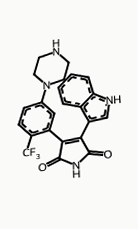 O=C1NC(=O)C(c2c[nH]c3ccccc23)=C1c1cc(N2CCNCC2)ccc1C(F)(F)F